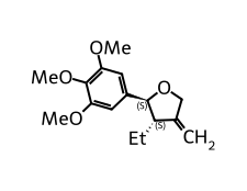 C=C1CO[C@H](c2cc(OC)c(OC)c(OC)c2)[C@H]1CC